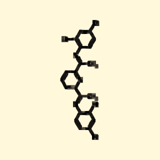 CCc1ccc(/N=C(\C)c2cccc(/C(C)=N/c3ccc(CC)cc3CC)n2)c(CC)c1